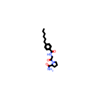 CCCCCCc1ccc(C(=O)NCC(=O)N2CCCC2C(N)=O)cc1